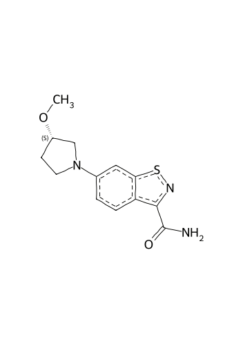 CO[C@H]1CCN(c2ccc3c(C(N)=O)nsc3c2)C1